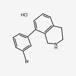 Brc1cccc(-c2cccc3c2CNCC3)c1.Cl